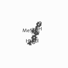 CSc1nc(NCC2CCOCC2)n2ncc(-c3ccc(C(=O)NC4CC4)c(Cl)c3)c2n1